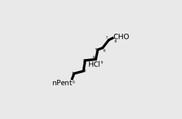 CCCCCCCCCCCCC=O.Cl